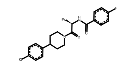 CC(C)[C@@H](NC(=O)c1ccc(F)cc1)C(=O)N1CCC(c2ccc(Cl)cc2)CC1